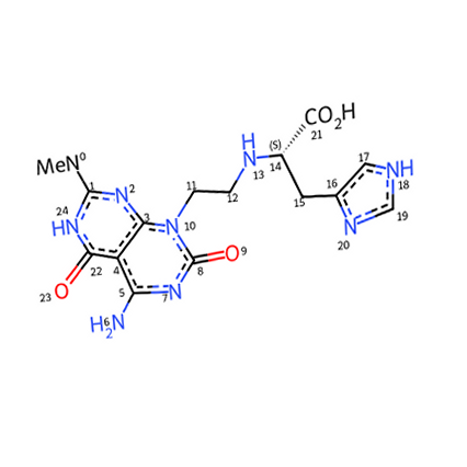 CNc1nc2c(c(N)nc(=O)n2CCN[C@@H](Cc2c[nH]cn2)C(=O)O)c(=O)[nH]1